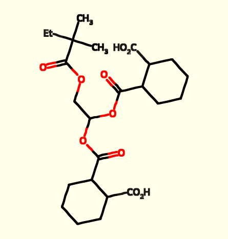 CCC(C)(C)C(=O)OCC(OC(=O)C1CCCCC1C(=O)O)OC(=O)C1CCCCC1C(=O)O